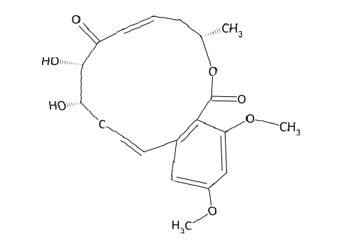 COc1cc2c(c(OC)c1)C(=O)O[C@@H](C)C/C=C\C(=O)[C@@H](O)[C@@H](O)C/C=C/2